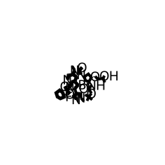 CC(O)CO[C@H]1C[C@@H](n2c(=O)n(C)c3cnc4c(c(Br)c(-c5cn(C)nc5F)n4S(=O)(=O)c4ccccc4)c32)C[C@@H]1NC(=O)OC(C)(C)C